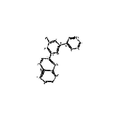 Cc1cc(-c2cccnc2)cc(-c2ccc3ccccc3c2)c1